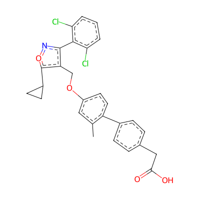 Cc1cc(OCc2c(-c3c(Cl)cccc3Cl)noc2C2CC2)ccc1-c1ccc(CC(=O)O)cc1